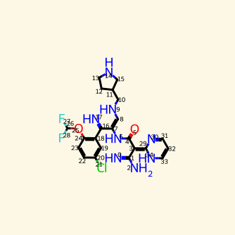 N=C(N)/C(C(=O)N/C(=C/NCC1CCNC1)C(=N)c1cc(Cl)ccc1OC(F)F)=C1/N=CC=CN1